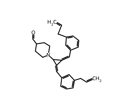 C=CCc1cccc(C=C2C(=Cc3cccc(CC=C)c3)C2N2CCC(C=O)CC2)c1